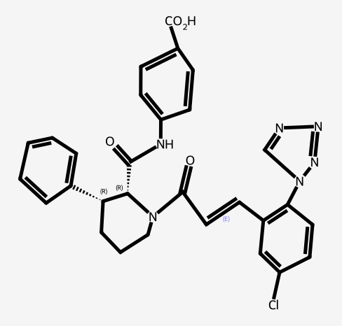 O=C(O)c1ccc(NC(=O)[C@H]2[C@@H](c3ccccc3)CCCN2C(=O)/C=C/c2cc(Cl)ccc2-n2cnnn2)cc1